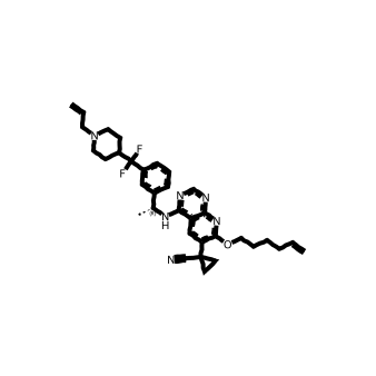 C=CCCCCOc1nc2ncnc(N[C@H](C)c3cccc(C(F)(F)C4CCN(CC=C)CC4)c3)c2cc1C1(C#N)CC1